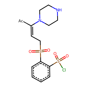 CC(=O)C(=CCS(=O)(=O)c1ccccc1S(=O)(=O)Cl)N1CCNCC1